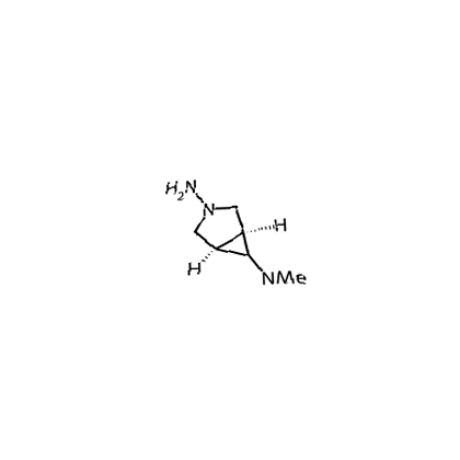 CNC1[C@H]2CN(N)C[C@@H]12